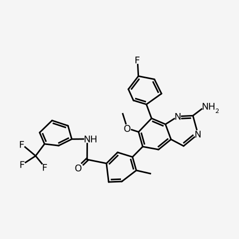 COc1c(-c2cc(C(=O)Nc3cccc(C(F)(F)F)c3)ccc2C)cc2cnc(N)nc2c1-c1ccc(F)cc1